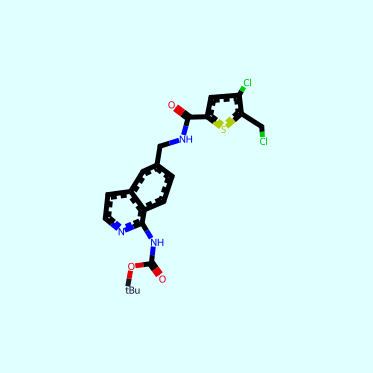 CC(C)(C)OC(=O)Nc1nccc2cc(CNC(=O)c3cc(Cl)c(CCl)s3)ccc12